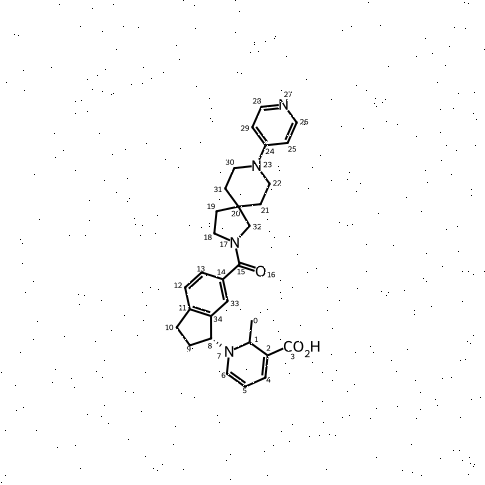 CC1C(C(=O)O)=CC=CN1[C@@H]1CCc2ccc(C(=O)N3CCC4(CCN(c5ccncc5)CC4)C3)cc21